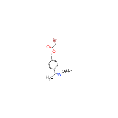 CO/N=C(/C)c1ccc(COC(=O)CBr)cc1